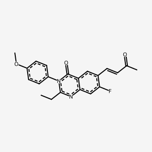 CCc1nc2cc(F)c(/C=C/C(C)=O)cc2c(=O)n1-c1ccc(OC)cc1